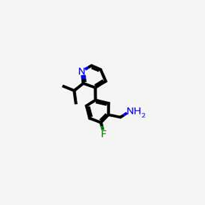 CC(C)c1ncccc1-c1ccc(F)c(CN)c1